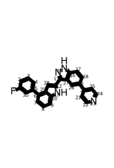 Fc1cccc(-c2cccc3[nH]c(-c4n[nH]c5ccc(-c6ccncc6)cc45)cc23)c1